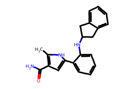 Cc1[nH]c(-c2ccccc2NC2Cc3ccccc3C2)cc1C(N)=O